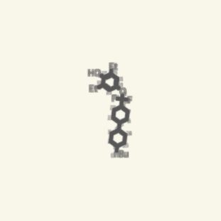 CCCCC1CCC(C2CCC(C(F)(F)Oc3cc(CC)c(O)c(CC)c3)CC2)CC1